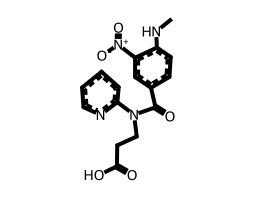 CNc1ccc(C(=O)N(CCC(=O)O)c2ccccn2)cc1[N+](=O)[O-]